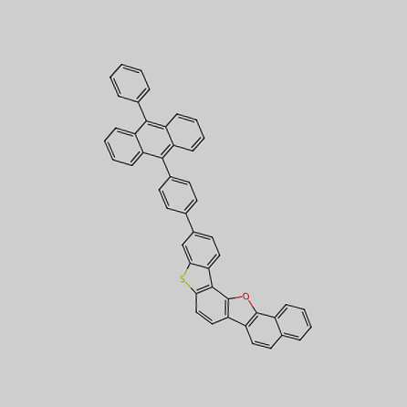 c1ccc(-c2c3ccccc3c(-c3ccc(-c4ccc5c(c4)sc4ccc6c7ccc8ccccc8c7oc6c45)cc3)c3ccccc23)cc1